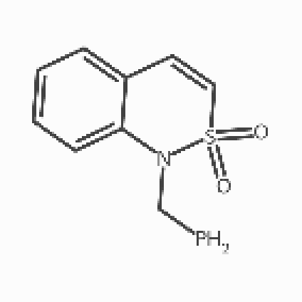 O=S1(=O)C=Cc2ccccc2N1CP